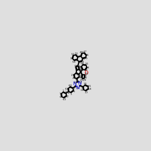 c1ccc(-c2ccc(-c3nc(-c4ccccc4)nc(-c4ccc5c(c4)C4(c6ccccc6Oc6ccccc64)c4cc(-c6cc7ccccc7c7ccccc67)ccc4-5)n3)cc2)cc1